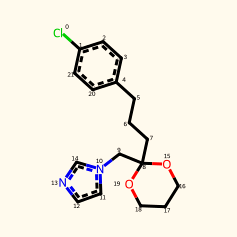 Clc1ccc(CCCC2(Cn3ccnc3)OCCCO2)cc1